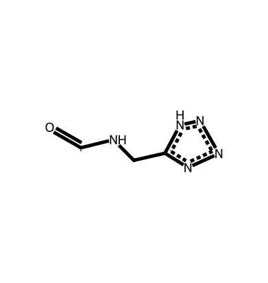 O=[C]NCc1nnn[nH]1